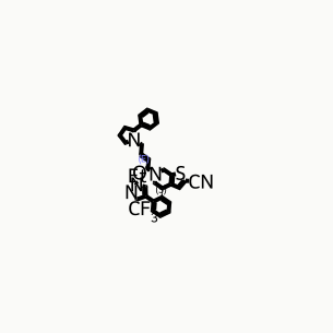 CCn1cc(-c2ccccc2[C@@H]2CN(C(=O)/C=C/CN3CCCC3c3ccccc3)Cc3sc(C#N)cc32)c(C(F)(F)F)n1